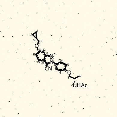 CC(=O)N[C@@H](C)COc1ccc(-n2nc3cc(OCC4CC4)ccc3c2C#N)cc1